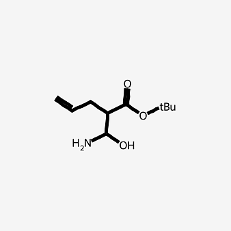 C=CCC(C(=O)OC(C)(C)C)C(N)O